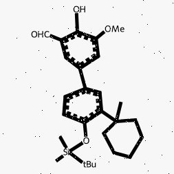 COc1cc(-c2ccc(O[Si](C)(C)C(C)(C)C)c(C3(C)CCCCC3)c2)cc(C=O)c1O